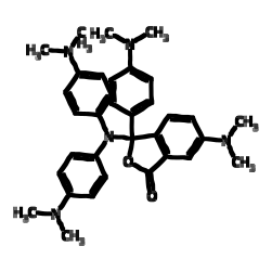 CN(C)c1ccc(N(c2ccc(N(C)C)cc2)C2(c3ccc(N(C)C)cc3)OC(=O)c3cc(N(C)C)ccc32)cc1